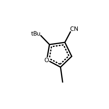 Cc1cc(C#N)c(C(C)(C)C)o1